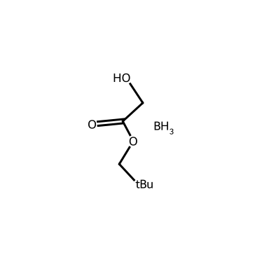 B.CC(C)(C)COC(=O)CO